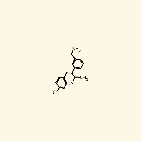 CC(N)C(Cc1ccc(Cl)cc1)c1cccc(CN)c1